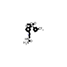 NC(=O)NC/C=C/c1ccc2ncc3oc(=O)n(-c4cccc(C(F)(F)F)c4)c3c2c1